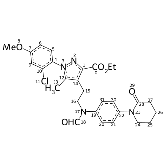 CCOC(=O)c1nn(-c2ccc(OC)cc2Cl)c(C)c1CCN(C=O)c1ccc(N2CCCCC2=O)cc1